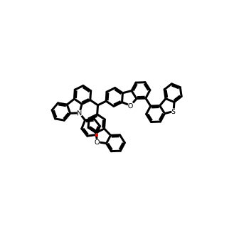 c1ccc(-n2c3ccccc3c3cccc(C(c4ccc5c(c4)oc4c(-c6cccc7sc8ccccc8c67)cccc45)c4ccc5oc6ccccc6c5c4)c32)cc1